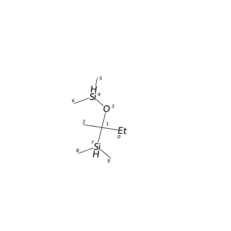 CCC(C)(O[SiH](C)C)[SiH](C)C